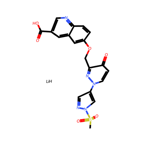 CS(=O)(=O)n1cc(-n2ccc(=O)c(COc3ccc4ncc(C(=O)O)cc4c3)n2)cn1.[LiH]